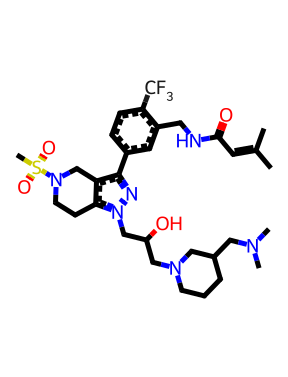 CC(C)=CC(=O)NCc1cc(-c2nn(CC(O)CN3CCCC(CN(C)C)C3)c3c2CN(S(C)(=O)=O)CC3)ccc1C(F)(F)F